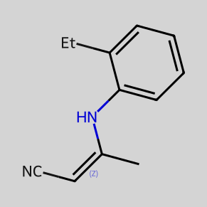 CCc1ccccc1N/C(C)=C\C#N